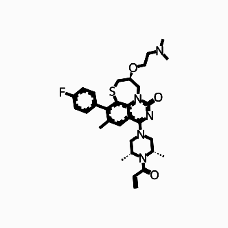 C=CC(=O)N1[C@H](C)CN(c2nc(=O)n3c4c(c(-c5ccc(F)cc5)c(C)cc24)SC[C@@H](OCCN(C)C)C3)C[C@@H]1C